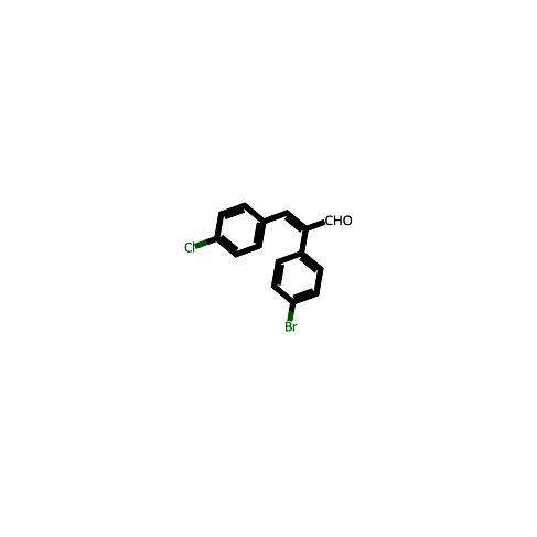 O=CC(=Cc1ccc(Cl)cc1)c1ccc(Br)cc1